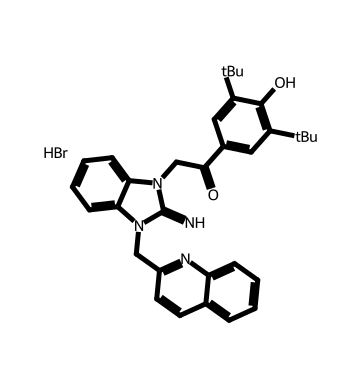 Br.CC(C)(C)c1cc(C(=O)Cn2c(=N)n(Cc3ccc4ccccc4n3)c3ccccc32)cc(C(C)(C)C)c1O